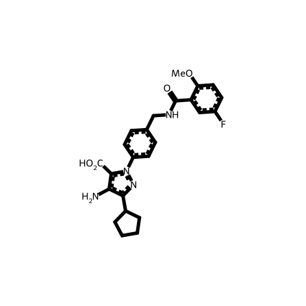 COc1ccc(F)cc1C(=O)NCc1ccc(-n2nc(C3CCCC3)c(N)c2C(=O)O)cc1